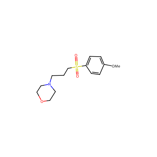 COc1ccc(S(=O)(=O)CCCN2CCOCC2)cc1